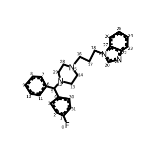 Fc1ccc(C(c2ccccc2)N2CCN(CCCn3cnc4ccccc43)CC2)cc1